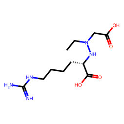 CCN(CC(=O)O)N[C@@H](CCCCNC(=N)N)C(=O)O